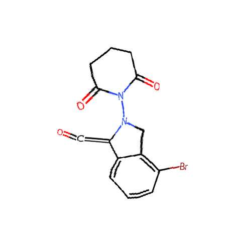 O=C=C1c2cccc(Br)c2CN1N1C(=O)CCCC1=O